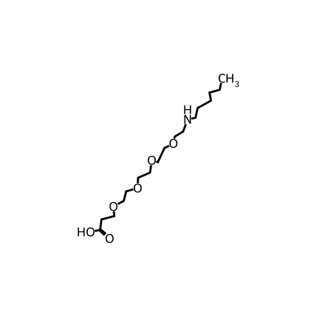 CCCCCCNCCOCCOCCOCCOCCC(=O)O